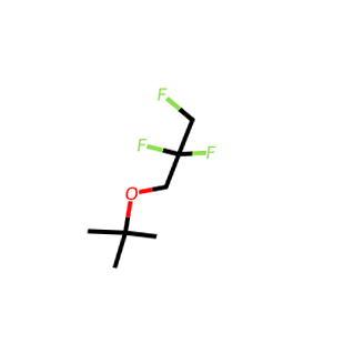 CC(C)(C)OCC(F)(F)CF